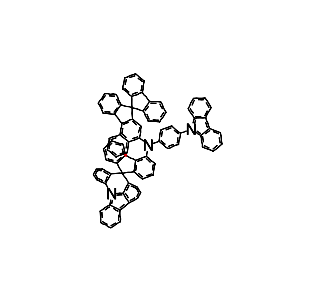 c1ccc2c(c1)-c1ccccc1C21c2ccccc2-c2c1cc(N(c1ccc(-n3c4ccccc4c4ccccc43)cc1)c1cccc3c1-c1ccccc1C31c3ccccc3-n3c4ccccc4c4cccc1c43)c1ccccc21